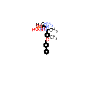 Cc1nc([C@@](C)(N)COP(=O)(O)O)[nH]c1-c1ccc(OCc2ccc(-c3ccccc3)cc2)c(C(F)(F)F)c1